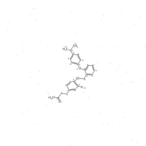 CC(=O)CCc1ccc(OCc2ccccc2Oc2ccc(C(C)C)cc2)c(F)c1